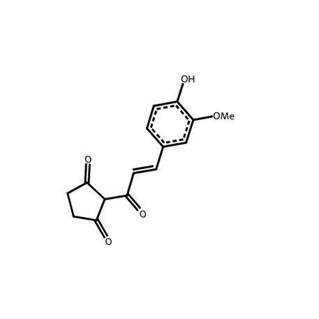 COc1cc(/C=C/C(=O)C2C(=O)CCC2=O)ccc1O